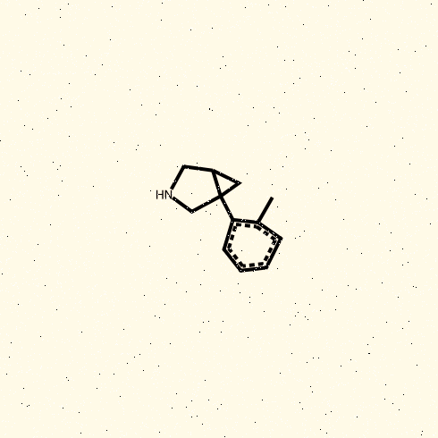 Cc1ccccc1C12CNCC1C2